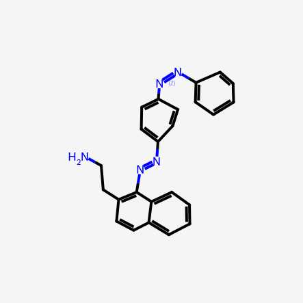 NCCc1ccc2ccccc2c1N=Nc1ccc(/N=N\c2ccccc2)cc1